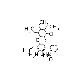 CCc1c(Cl)c2c(c(CC)c1CC)Oc1c(CC)c(N)c(N)c(-c3ccccc3C(=O)O)c1C2